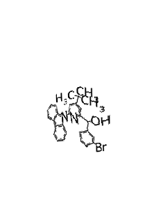 CC(C)(C)c1cc(C(O)c2cccc(Br)c2)nc(-n2c3ccccc3c3ccccc32)c1